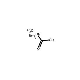 O.O=C(O)O.[BeH2]